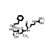 C[C@H](NC(=O)[C@@H](CO)NS(=O)(=O)CCc1ccccc1)C(=O)N[C@H](C=O)CCCNC(=N)N